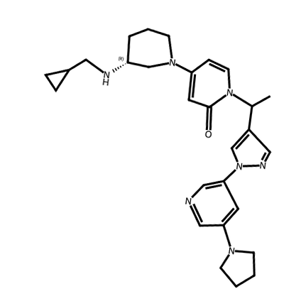 CC(c1cnn(-c2cncc(N3CCCC3)c2)c1)n1ccc(N2CCC[C@@H](NCC3CC3)C2)cc1=O